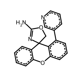 NC1=NC2(CO1)c1ccccc1Oc1cccc(-c3cccnc3)c12